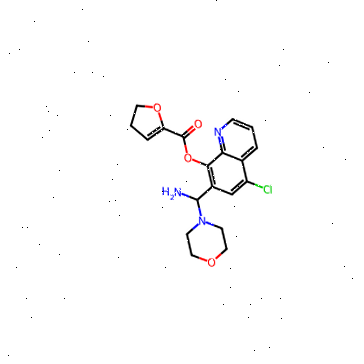 NC(c1cc(Cl)c2cccnc2c1OC(=O)C1=CCCO1)N1CCOCC1